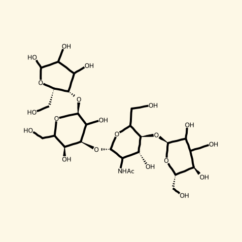 CC(=O)NC1[C@H](O[C@@H]2C(O)[C@H](O[C@H]3C(O)C(O)C(O)O[C@H]3CO)OC(CO)[C@@H]2O)OC(CO)[C@@H](O[C@@H]2O[C@@H](CO)[C@H](O)C(O)C2O)[C@@H]1O